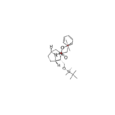 CC(C)(C)OC(=O)N1[C@@H]2CC[C@H]1[C@@H](CO[Si](C)(C)C(C)(C)C)N(Cc1ccccc1)C2